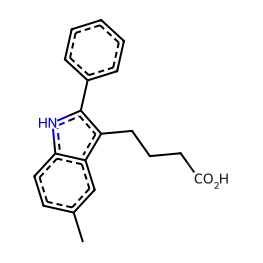 Cc1ccc2[nH]c(-c3ccccc3)c(CCCC(=O)O)c2c1